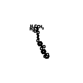 CC(C)(C)CC(=O)OCCCCOc1ccc(C(=O)Oc2ccc(B3OCCCO3)cc2)cc1